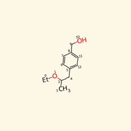 CCOC(C)Cc1ccc(CO)cc1